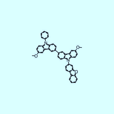 COc1ccc2c(c1)c1cc(-c3ccc4c(c3)c3cc(OC)ccc3n4-c3ccc4c(c3)oc3ccccc34)ccc1n2-c1ccccc1